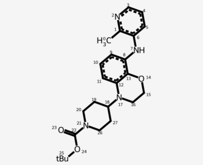 Cc1ncccc1Nc1cccc2c1OCCN2C1CCN(C(=O)OC(C)(C)C)CC1